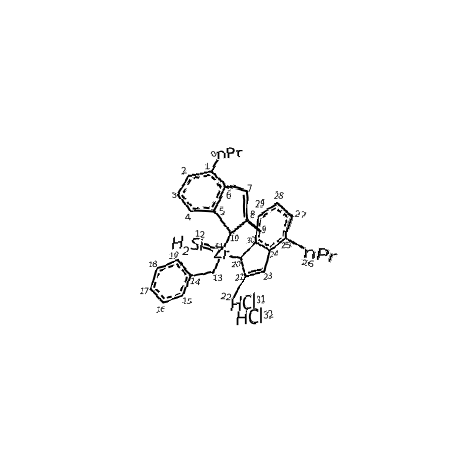 CCCc1cccc2c1C=C(C)[CH]2[Zr](=[SiH2])([CH2]c1ccccc1)[CH]1C(C)=Cc2c(CCC)cccc21.Cl.Cl